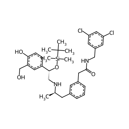 C[C@H](Cc1cccc(CC(=O)NCc2cc(Cl)cc(Cl)c2)c1)NC[C@@H](O[Si](C)(C)C(C)(C)C)c1ccc(O)c(CO)c1